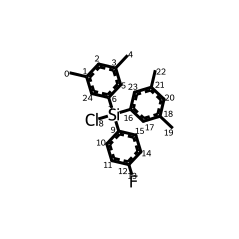 Cc1cc(C)cc([Si](Cl)(c2ccc(F)cc2)c2cc(C)cc(C)c2)c1